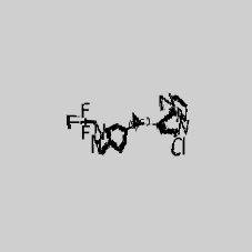 FC(F)(F)Cn1ncc2ccc([C@H]3C[C@@H]3c3cc(Cl)nn4ccnc34)cc21